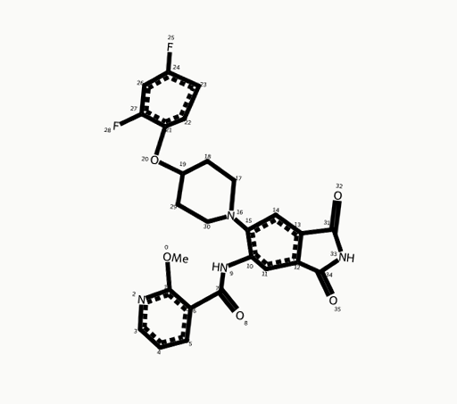 COc1ncccc1C(=O)Nc1cc2c(cc1N1CCC(Oc3ccc(F)cc3F)CC1)C(=O)NC2=O